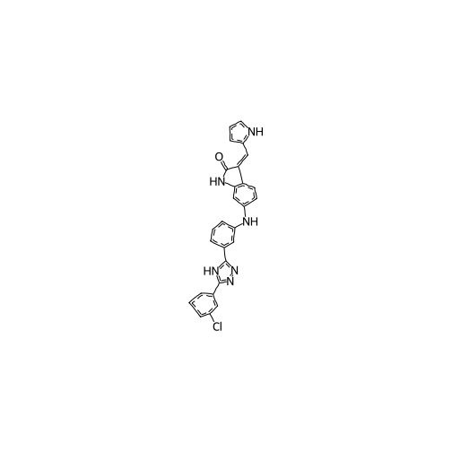 O=C1Nc2cc(Nc3cccc(-c4nnc(-c5cccc(Cl)c5)[nH]4)c3)ccc2/C1=C/c1ccc[nH]1